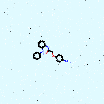 Nc1ccc(OCC(=O)Nc2ccccc2Nc2ccccc2)cc1